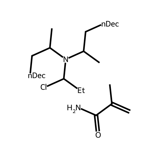 C=C(C)C(N)=O.CCCCCCCCCCCC(C)N(C(C)CCCCCCCCCCC)C(Cl)CC